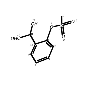 CS(=O)(=O)Oc1ccccc1C(O)C=O